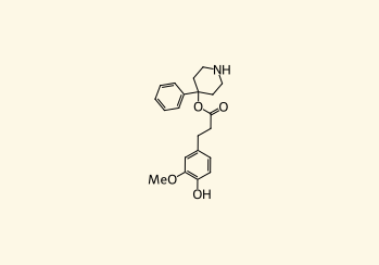 COc1cc(CCC(=O)OC2(c3ccccc3)CCNCC2)ccc1O